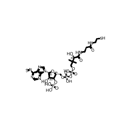 CC(C)(COP(=O)(O)OP(=O)(O)OC[C@H]1O[C@@H](n2cnc3c(N=S)ncnc32)[C@H](O)[C@@H]1OP(=O)(O)O)[C@@H](O)C(=O)NCCC(=O)NCCS